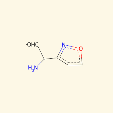 NC([C]=O)c1ccon1